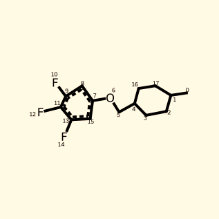 CC1CCC(COc2cc(F)c(F)c(F)c2)CC1